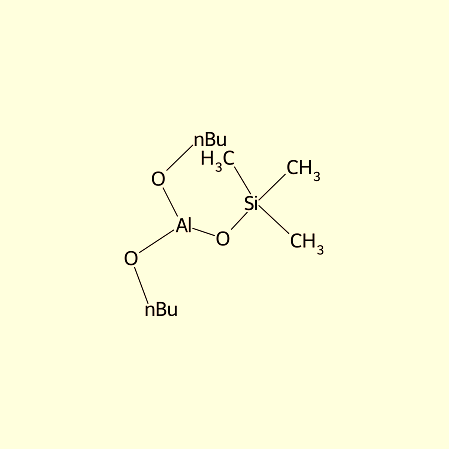 CCCC[O][Al]([O]CCCC)[O][Si](C)(C)C